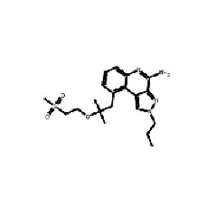 CCCn1cc2c(n1)c(N)nc1cccc(CC(C)(C)OCCS(C)(=O)=O)c12